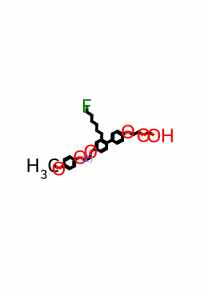 COc1ccc(O/C=C\Oc2ccc(-c3ccc(OCCOCO)cc3)c(CCCCCCF)c2)cc1